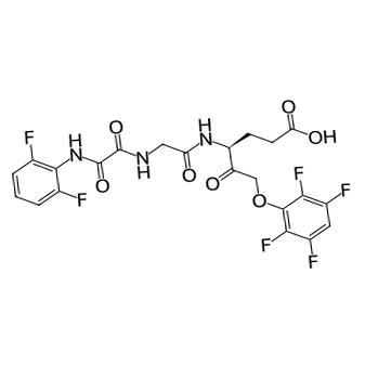 O=C(O)CC[C@H](NC(=O)CNC(=O)C(=O)Nc1c(F)cccc1F)C(=O)COc1c(F)c(F)cc(F)c1F